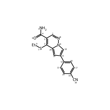 CCSc1c(C(N)=O)cnn2cc(-c3ccc(C#N)cc3)cc12